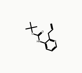 C=CCc1ncccc1NC(=O)OC(C)(C)C